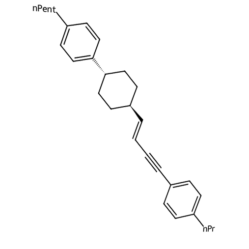 CCCCCc1ccc([C@H]2CC[C@H](C=CC#Cc3ccc(CCC)cc3)CC2)cc1